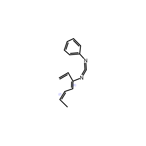 C=C/C(=C\C=C/C)N=C=Nc1ccccc1